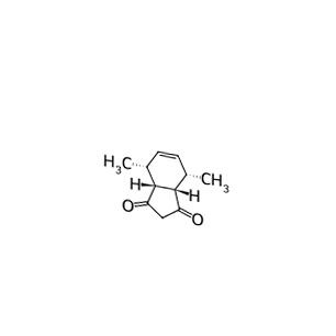 C[C@@H]1C=C[C@H](C)[C@@H]2C(=O)CC(=O)[C@@H]21